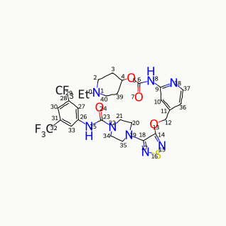 CCN1CCC(OC(=O)Nc2cc(COc3nsnc3N3CCN(C(=O)Nc4cc(C(F)(F)F)cc(C(F)(F)F)c4)CC3)ccn2)CC1